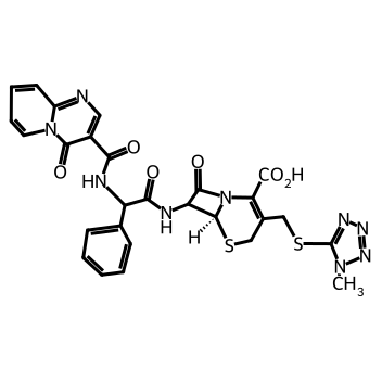 Cn1nnnc1SCC1=C(C(=O)O)N2C(=O)C(NC(=O)C(NC(=O)c3cnc4ccccn4c3=O)c3ccccc3)[C@@H]2SC1